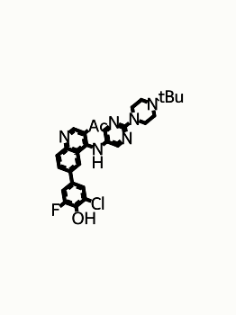 CC(=O)c1cnc2ccc(-c3cc(F)c(O)c(Cl)c3)cc2c1Nc1cnc(N2CCN(C(C)(C)C)CC2)nc1